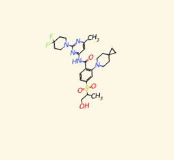 Cc1cc(NC(=O)c2ccc(S(=O)(=O)C(C)CO)cc2N2CCC3(CC2)CC3)nc(N2CCC(F)(F)CC2)n1